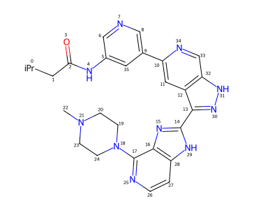 CC(C)CC(=O)Nc1cncc(-c2cc3c(-c4nc5c(N6CCN(C)CC6)nccc5[nH]4)n[nH]c3cn2)c1